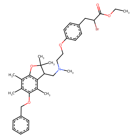 CCOC(=O)C(Br)Cc1ccc(OCCN(C)CC2c3c(C)c(OCc4ccccc4)c(C)c(C)c3OC2(C)C)cc1